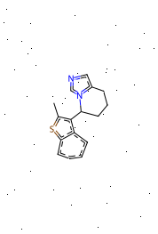 Cc1sc2ccccc2c1C1CCCc2cncn21